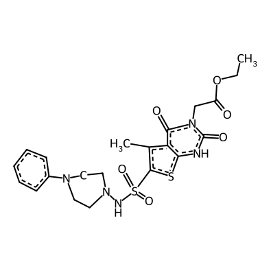 CCOC(=O)Cn1c(=O)[nH]c2sc(S(=O)(=O)NN3CCN(c4ccccc4)CC3)c(C)c2c1=O